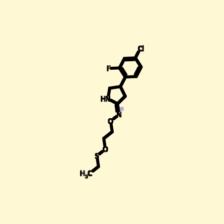 CCSOCCO/N=C1/CC(c2ccc(Cl)cc2F)CN1